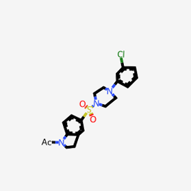 CC(=O)N1CCc2cc(S(=O)(=O)N3CCN(c4cccc(Cl)c4)CC3)ccc21